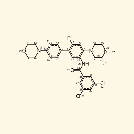 C[C@@H]1CN(c2cc(F)c(-c3cnc(N4CCOCC4)nc3)cc2NC(=O)c2cc(Cl)cc(Cl)c2)CCN1C